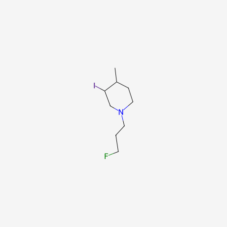 CC1CCN(CCCF)CC1I